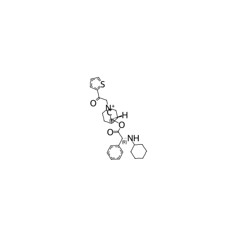 O=C(C[N+]12CCC(CC1)[C@@H](OC(=O)[C@H](NC1CCCCC1)c1ccccc1)C2)c1cccs1